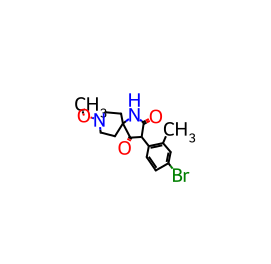 CON1CCC2(CC1)NC(=O)C(c1ccc(Br)cc1C)C2=O